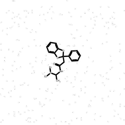 CCN(CC)C(C)NC(=O)CC1(c2ccccc2)Oc2ccccc2O1